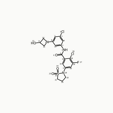 O=C(Nc1cc(Cl)cc(N2CC(O)C2)c1)c1cc(N2CCCS2(=O)=O)cc(F)c1Cl